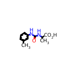 Cc1cccc(NC(=O)NC(C)C(=O)O)c1